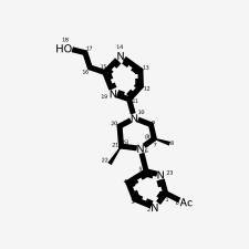 CC(=O)c1nccc(N2[C@H](C)CN(c3ccnc(CCO)n3)C[C@@H]2C)n1